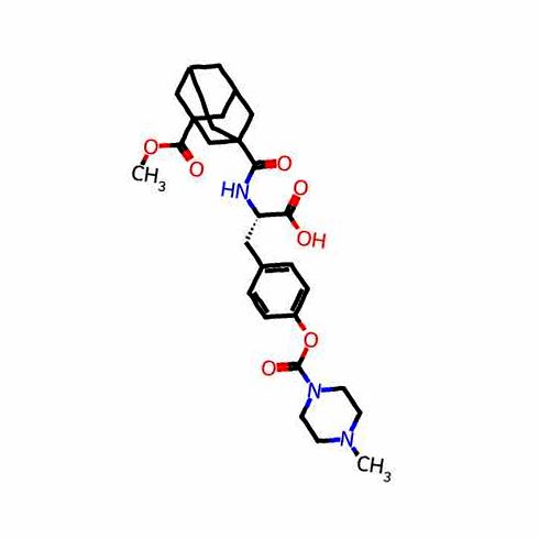 COC(=O)C12CC3CC(CC(C(=O)N[C@@H](Cc4ccc(OC(=O)N5CCN(C)CC5)cc4)C(=O)O)(C3)C1)C2